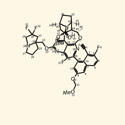 C#Cc1c(F)ccc2cc(OCOC)cc(-c3nc4c5c(nc(OCC67CCCN6CC(F)(F)C7)nc5c3F)N3C[C@H]5CC[C@@H]([C@H]3[C@H](C)O4)N5C(=O)OC(C)(C)C)c12